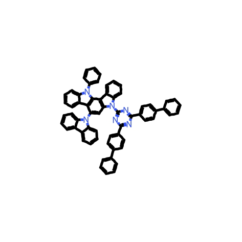 c1ccc(-c2ccc(-c3nc(-c4ccc(-c5ccccc5)cc4)nc(-n4c5ccccc5c5c4cc(-n4c6ccccc6c6ccccc64)c4c6ccccc6n(-c6ccccc6)c45)n3)cc2)cc1